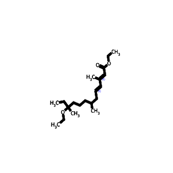 CCOC(=O)/C=C(C)/C=C/CC(C)CCCC(C)(CC)OCC